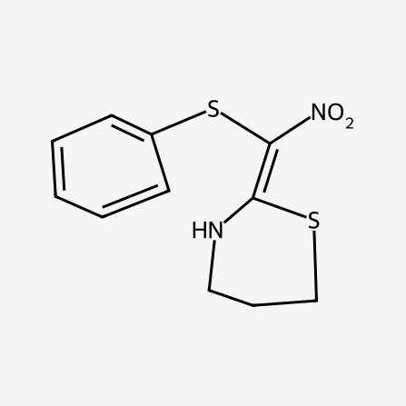 O=[N+]([O-])C(Sc1ccccc1)=C1NCCCS1